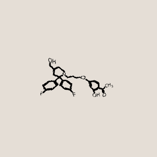 CC(=O)c1ccc(OCCCN2CCC(CO)CC2(c2ccc(F)cc2)c2ccc(F)cc2)cc1O